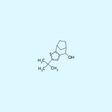 CC(C)(C)c1cc2c(s1)C1CCC(C1)C2O